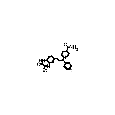 CCc1nc2cc(CCC(c3ccc(Cl)cc3)N3CCC(C(N)=O)CC3)ccc2[nH]c1=O